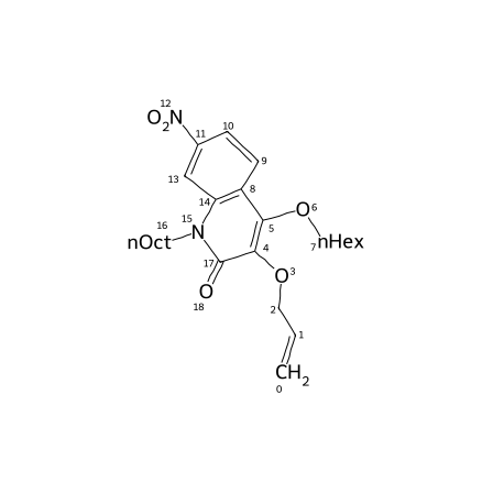 C=CCOc1c(OCCCCCC)c2ccc([N+](=O)[O-])cc2n(CCCCCCCC)c1=O